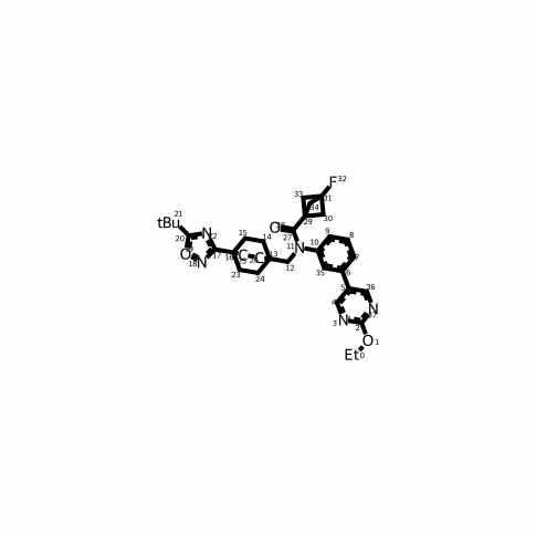 CCOc1ncc(-c2cccc(N(CC34CCC(c5noc(C(C)(C)C)n5)(CC3)CC4)C(=O)C34CC(F)(C3)C4)c2)cn1